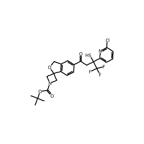 CC(C)(C)OC(=O)N1CC2(C1)OCc1cc(C(=O)CC(S)(c3cccc(Cl)n3)C(F)(F)F)ccc12